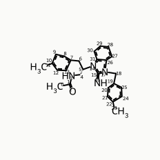 CC(=O)NC[C@H](Cc1ccc(C)cc1)n1c(=N)n(Cc2ccc(C)cc2)c2ccccc21